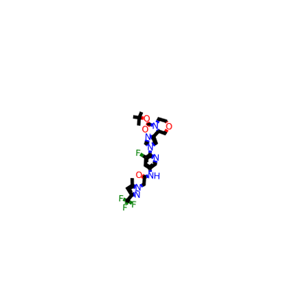 Cc1cc(C(F)(F)F)nn1CC(=O)Nc1cnc(-n2cnc(C3COCCN3C(=O)OC(C)(C)C)c2)c(F)c1